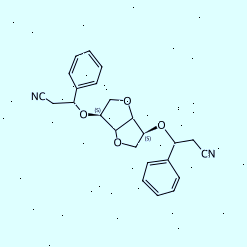 N#CCC(O[C@H]1COC2C1OC[C@@H]2OC(CC#N)c1ccccc1)c1ccccc1